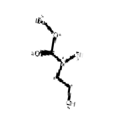 CC(C)(C)OC(=O)N(S)CCO